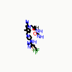 CNCC(=O)NC12CC(Cn3c(C#N)cc4c(C)c(CN5CCC(Nc6ncnc7sc(CC(F)(F)F)cc67)CC5)ccc43)(C1)[C@@H]2C